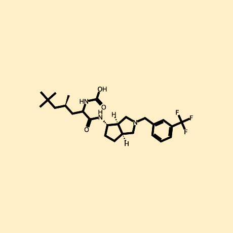 C[C@@H](CC(NC(=O)O)C(=O)N[C@H]1CC[C@@H]2CN(Cc3cccc(C(F)(F)F)c3)C[C@@H]21)CC(C)(C)C